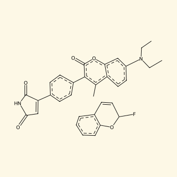 CCN(CC)c1ccc2c(C)c(-c3ccc(C4=CC(=O)NC4=O)cc3)c(=O)oc2c1.FC1C=Cc2ccccc2O1